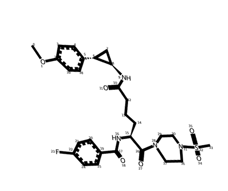 COc1ccc([C@@H]2C[C@H]2NC(=O)CCC[C@H](NC(=O)c2ccc(F)cc2)C(=O)N2CCN(S(C)(=O)=O)CC2)cc1